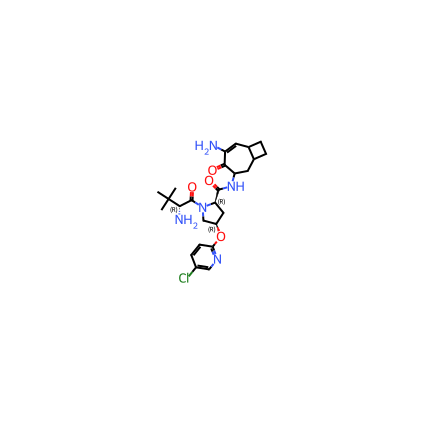 CC(C)(C)[C@@H](N)C(=O)N1C[C@H](Oc2ccc(Cl)cn2)C[C@@H]1C(=O)NC1CC2CCC2C=C(N)C1=O